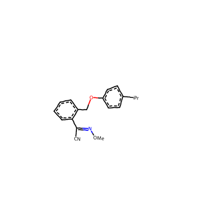 CON=C(C#N)c1ccccc1COc1ccc(C(C)C)cc1